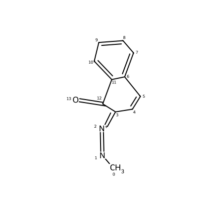 CN=[N+]=C1C=Cc2ccccc2C1=O